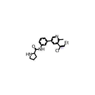 CC/C=C(/Cl)c1cc(-c2cccc(NC(=O)C3CCCN3)c2)cnc1C